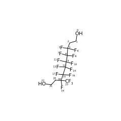 OCCC(F)(F)C(F)(F)C(F)(F)C(F)(F)C(F)(F)C(F)(CCO)C(F)(F)F